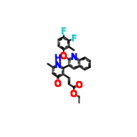 CCOC(=O)/C=C/c1c(-c2cc3ccccc3nc2Oc2ccc(F)c(F)c2C)[nH]c(C)cc1=O